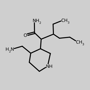 CCCC(CC)C(C(N)=O)C1CNCCC1CN